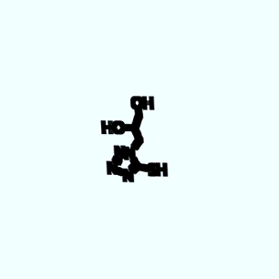 OCC(O)Cn1nnnc1S